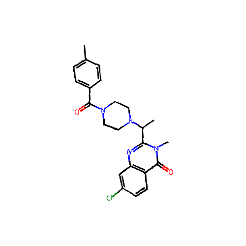 Cc1ccc(C(=O)N2CCN(C(C)c3nc4cc(Cl)ccc4c(=O)n3C)CC2)cc1